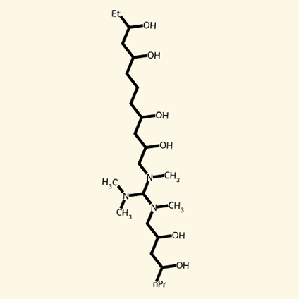 CCCC(O)CC(O)CN(C)C(N(C)C)N(C)CC(O)CC(O)CCCC(O)CC(O)CC